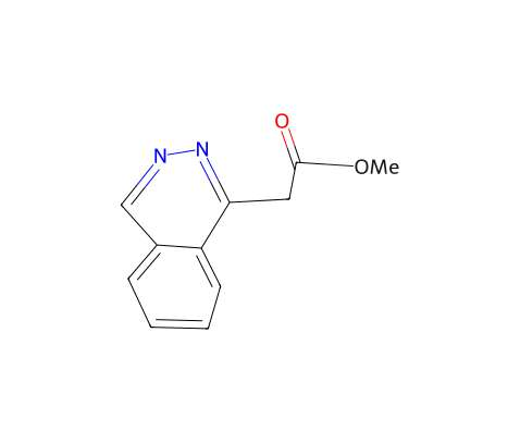 COC(=O)Cc1nncc2ccccc12